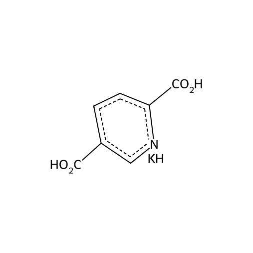 O=C(O)c1ccc(C(=O)O)nc1.[KH]